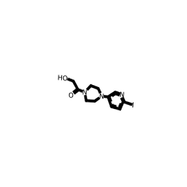 O=C(CO)N1CCN(c2ccc(I)nc2)CC1